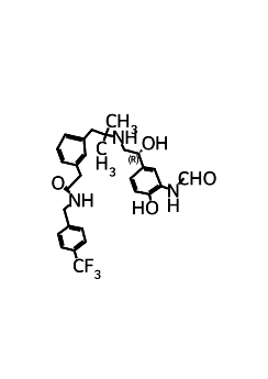 CC(C)(Cc1cccc(CC(=O)NCc2ccc(C(F)(F)F)cc2)c1)NC[C@H](O)c1ccc(O)c(NC=O)c1